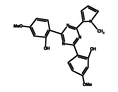 COc1ccc(-c2nc(-c3ccc(OC)cc3O)nc(-c3cccn3C)n2)c(O)c1